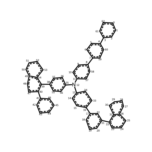 c1ccc(-c2ccc(-c3ccc(N(c4ccc(-c5cccc(-c6cccc7ccccc67)c5)cc4)c4ccc(-c5c(-c6ccccc6)ccc6ccccc56)cc4)cc3)cc2)cc1